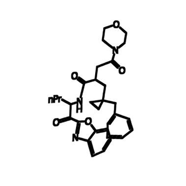 CCCC(NC(=O)C(CC(=O)N1CCOCC1)CC1(Cc2ccccc2)CC1)C(=O)c1nc2ccccc2o1